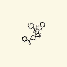 N#CC1(NC(=O)C(CC2CCCCC2)NC(=O)N2CCOCC2)CCN(C(=O)c2ccccc2)CC1